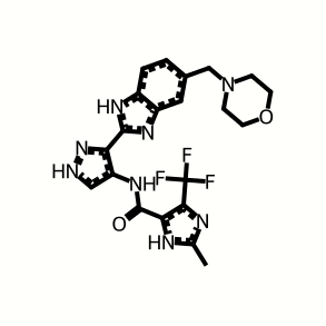 Cc1nc(C(F)(F)F)c(C(=O)Nc2c[nH]nc2-c2nc3cc(CN4CCOCC4)ccc3[nH]2)[nH]1